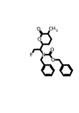 CC1CCC(C(CF)N(Cc2ccccc2)C(=O)OCc2ccccc2)OC1=O